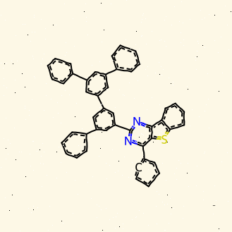 c1ccc(-c2cc(-c3ccccc3)cc(-c3cc(-c4ccccc4)cc(-c4nc(-c5ccccc5)c5sc6ccccc6c5n4)c3)c2)cc1